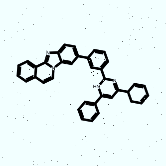 C1=CCC(C2=NC(c3cccc(-c4ccc5nc6c7ccccc7ccn6c5c4)c3)NC(c3ccccc3)=C2)C=C1